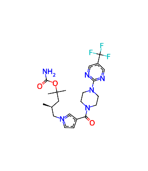 C[C@H](Cn1ccc(C(=O)N2CCN(c3ncc(C(F)(F)F)cn3)CC2)c1)CC(C)(C)OC(N)=O